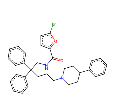 O=C(NCC(CCCN1CCC(c2ccccc2)CC1)(c1ccccc1)c1ccccc1)c1ccc(Br)o1